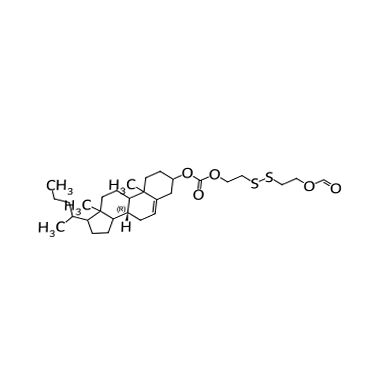 CCCC(C)C1CCC2[C@H]3CC=C4CC(OC(=O)OCCSSCCOC=O)CCC4(C)C3CCC12C